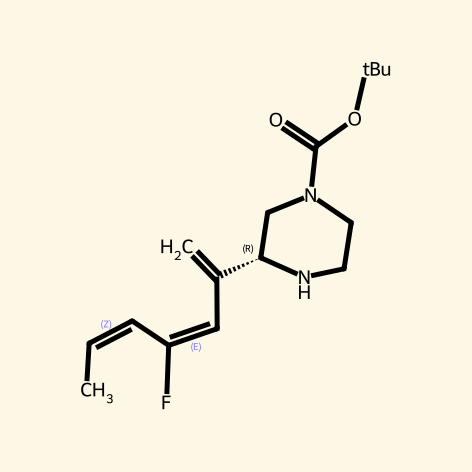 C=C(/C=C(F)\C=C/C)[C@@H]1CN(C(=O)OC(C)(C)C)CCN1